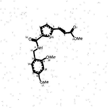 COC(=O)C=Cc1ccc(C(=O)NCc2ccc(OC)cc2OC)s1